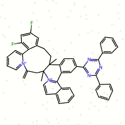 C=C1CC2(C)[n+]3ccc4ccccc4c3-c3cc(-c4nc(-c5ccccc5)nc(-c5ccccc5)n4)ccc3C2(C)CCc2cc(F)cc(F)c2-c2cccc[n+]21